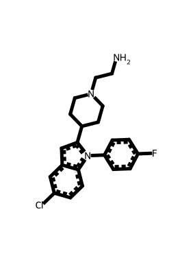 NCCN1CCC(c2cc3cc(Cl)ccc3n2-c2ccc(F)cc2)CC1